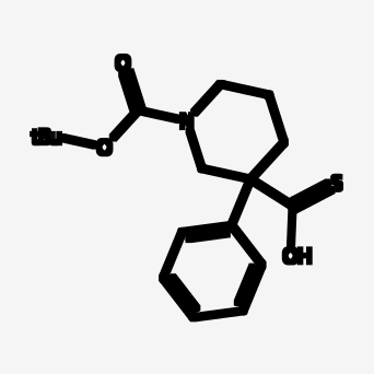 CC(C)(C)OC(=O)N1CCCC(C(O)=S)(c2ccccc2)C1